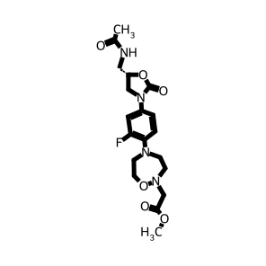 COC(=O)CN1CCN(c2ccc(N3C[C@H](CNC(C)=O)OC3=O)cc2F)CCO1